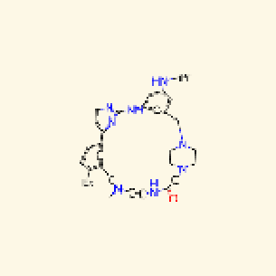 CCc1ccc2cc1CN(C)CCNC(=O)CN1CCN(CC1)Cc1cc(cc(NC(C)C)c1)Nc1nccc-2n1